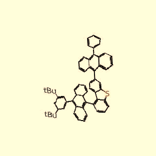 CC(C)(C)C1=CC(C2=c3ccccc3=C(c3cccc4sc5cc(-c6c7ccccc7c(-c7ccccc7)c7ccccc67)ccc5c34)C3C=CC=CC23)=CC(C(C)(C)C)C1